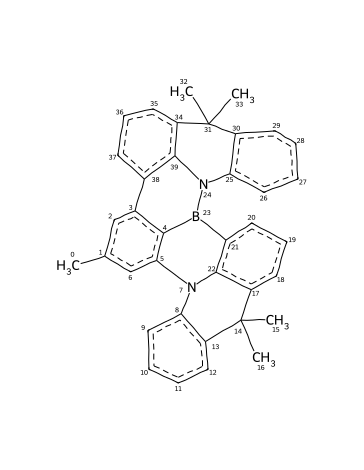 Cc1cc2c3c(c1)N1c4ccccc4C(C)(C)c4cccc(c41)B3N1c3ccccc3C(C)(C)c3cccc-2c31